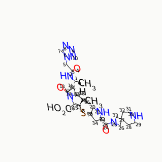 CC(NC(=O)Cn1cnnn1)[C@H]1C(=O)N2C(C(=O)O)=C(S[C@@H]3CN[C@H](C(=O)N4CC5(CCNCC5)C4)C3)[C@H](C)[C@H]12